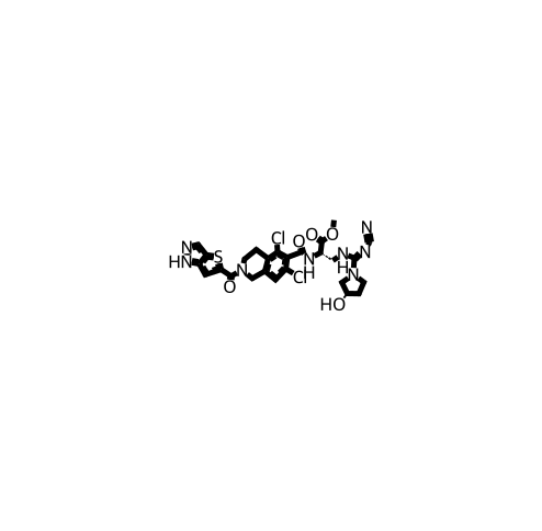 COC(=O)[C@H](CN/C(=N\C#N)N1CC[C@H](O)C1)NC(=O)c1c(Cl)cc2c(c1Cl)CCN(C(=O)c1cc3[nH]ncc3s1)C2